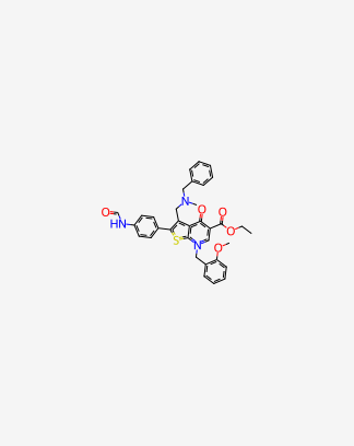 CCOC(=O)c1cn(Cc2ccccc2OC)c2sc(-c3ccc(NC=O)cc3)c(CN(C)Cc3ccccc3)c2c1=O